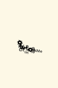 CNS(=O)(=O)c1ccc(NC(=O)c2cc3c(C)nn(-c4ccccc4)c3s2)cc1